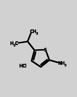 CC(C)c1ccc(N)s1.Cl